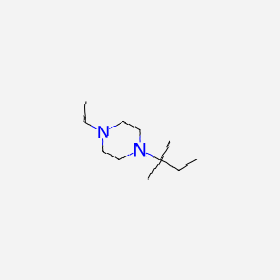 CCN1CCN(C(C)(C)CC)CC1